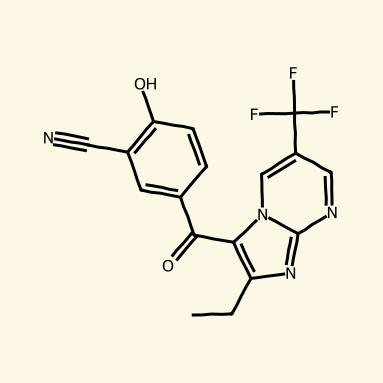 CCc1nc2ncc(C(F)(F)F)cn2c1C(=O)c1ccc(O)c(C#N)c1